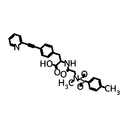 Cc1ccc(S(=O)(=O)N(C)CC(=O)NC(Cc2ccc(C#Cc3ccccn3)cc2)C(=O)O)cc1